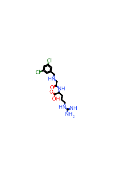 N=C(N)NCCCC(NC(=O)CNCc1cc(Cl)cc(Cl)c1)C(=O)O